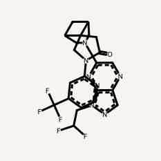 O=C1CC2(CN1c1cc(C(F)(F)F)ccn1)C1CC2CN(c2cnc3cnn(CC(F)F)c3n2)C1